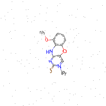 CCCOc1cccc2c1Nc1nc(=S)n(C(C)C)cc1O2